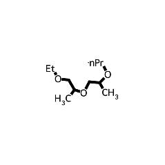 C[CH][CH]OC(C)COC(C)COCC